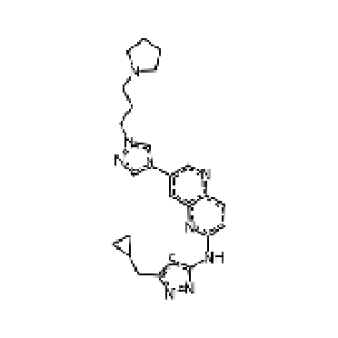 c1nc2ccc(Nc3nnc(CC4CC4)s3)nc2cc1-c1cnn(CCCN2CCCC2)c1